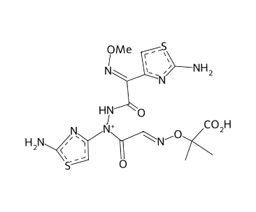 CON=C(C(=O)N[N+](C(=O)C=NOC(C)(C)C(=O)O)c1csc(N)n1)c1csc(N)n1